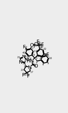 COc1cc([C@@](Cc2ccccc2)(NC(=O)N2CC(F)(F)C[C@H]2c2ncn[nH]2)c2cc(F)cc(C(F)(F)F)c2)ccc1F